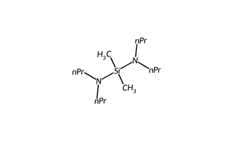 CCCN(CCC)[Si](C)(C)N(CCC)CCC